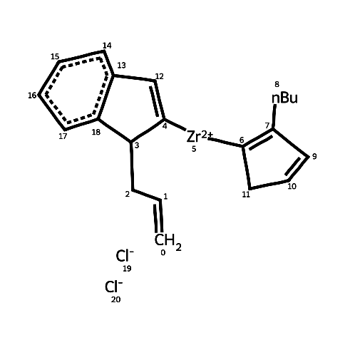 C=CCC1[C]([Zr+2][C]2=C(CCCC)C=CC2)=Cc2ccccc21.[Cl-].[Cl-]